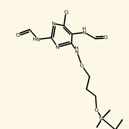 CC(C)(C)[Si](C)(C)OCCCONc1nc(NC=O)nc(Cl)c1NC=O